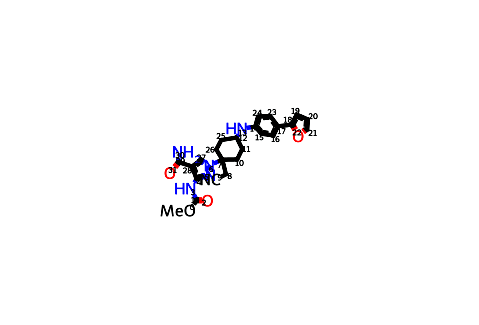 COC(=O)Nc1nn(C2(CC#N)CCC(Nc3ccc(-c4ccco4)cc3)CC2)cc1C(N)=O